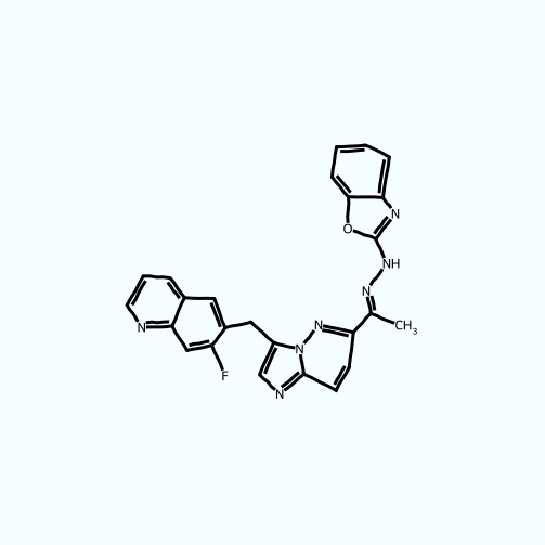 CC(=NNc1nc2ccccc2o1)c1ccc2ncc(Cc3cc4cccnc4cc3F)n2n1